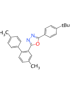 Cc1ccc(-c2ccc(C)cc2-c2nnc(-c3ccc(C(C)(C)C)cc3)o2)cc1